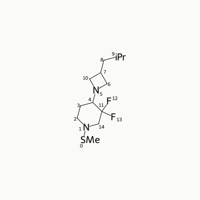 CSN1CCC(N2CC(CC(C)C)C2)C(F)(F)C1